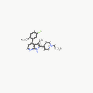 COc1ccc(F)cc1-c1ccnc2[nH]c(C3=CCN(CC(=O)O)CC3)c(C#N)c12